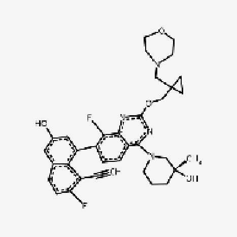 C#Cc1c(F)ccc2cc(O)cc(-c3ccc4c(N5CCC[C@@](C)(O)C5)nc(OCC5(CN6CCOCC6)CC5)nc4c3F)c12